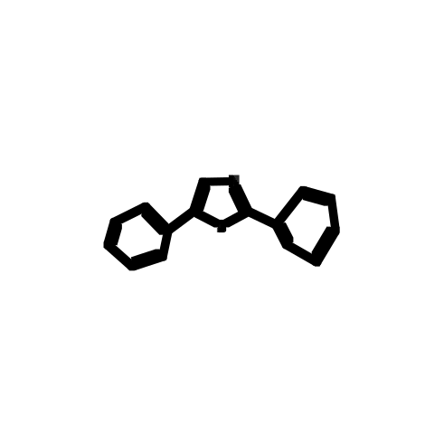 c1ccc(-c2cnc(-c3ccccc3)s2)cc1